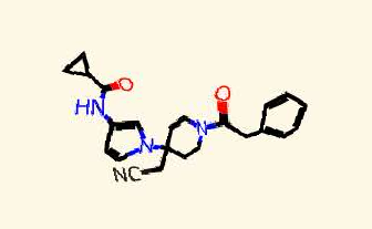 N#CCC1(n2ccc(NC(=O)C3CC3)c2)CCN(C(=O)Cc2ccccc2)CC1